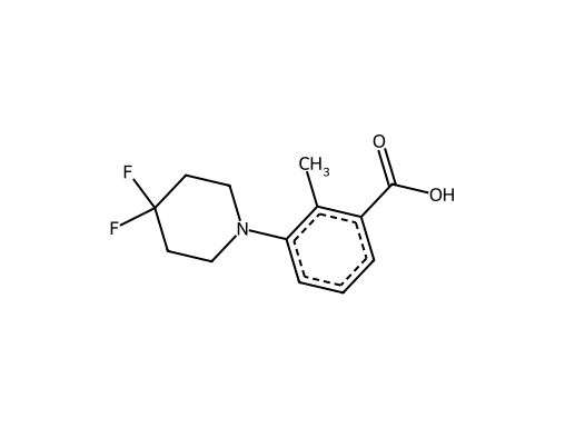 Cc1c(C(=O)O)cccc1N1CCC(F)(F)CC1